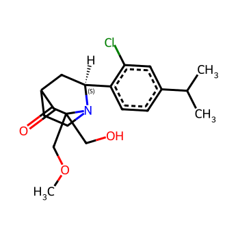 COCC1(CO)C(=O)C2CCN1[C@H](c1ccc(C(C)C)cc1Cl)C2